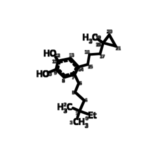 CCC(C)(C)CCCc1cc(O)c(O)cc1CCCC1(C)CC1